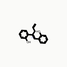 C=CC/C(=C\c1ccccc1O)c1ccccc1O